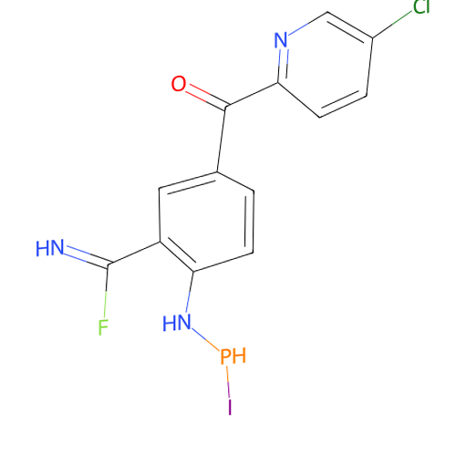 N=C(F)c1cc(C(=O)c2ccc(Cl)cn2)ccc1NPI